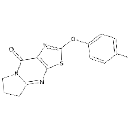 Cc1ccc(Oc2nc3c(=O)n4c(nc3s2)CCC4)cc1